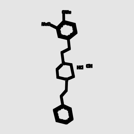 COc1ccc(CCN2CCN(CCc3ccccc3)CC2)cc1OC.Cl.Cl